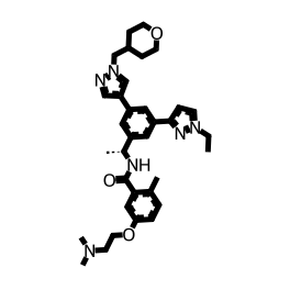 CCn1ccc(-c2cc(-c3cnn(CC4CCOCC4)c3)cc([C@@H](C)NC(=O)c3cc(OCCN(C)C)ccc3C)c2)n1